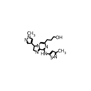 Cc1cc(NC2=NC(CCCO)=CN3C2=NCC3c2cnn(C)c2)sn1